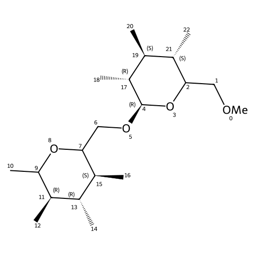 COCC1O[C@@H](OCC2OC(C)[C@H](C)[C@@H](C)[C@@H]2C)[C@H](C)[C@@H](C)[C@@H]1C